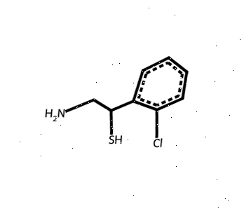 NCC(S)c1ccccc1Cl